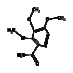 COc1ccc(C(N)=O)c(OC)c1OC